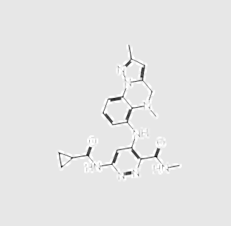 CNC(=O)c1nnc(NC(=O)C2CC2)cc1Nc1cccc2c1N(C)Cc1cc(C)nn1-2